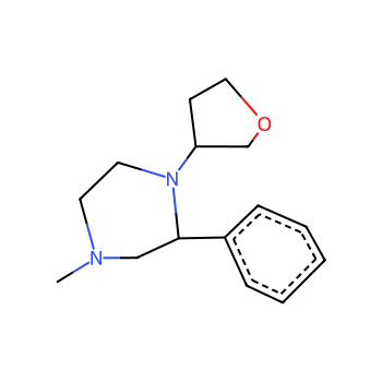 CN1CCN(C2CCOC2)C(c2ccccc2)C1